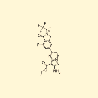 CCOC(=O)c1c(N)nn2ccc(-c3cc(F)c4c(c3)CN([C@@H](C)C(F)(F)F)C4=O)nc12